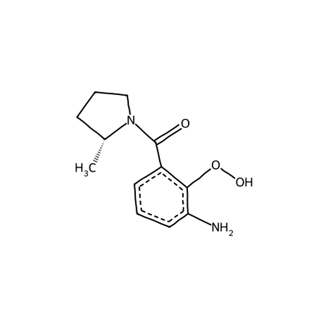 C[C@@H]1CCCN1C(=O)c1cccc(N)c1OO